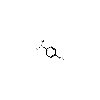 [CH2]C[S+]([O-])c1ccc(C)cc1